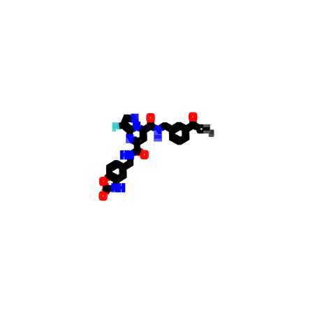 CC(=O)c1cccc(CNC(=O)c2cc(C(=O)NCc3ccc4oc(=O)[nH]c4c3)nc3c(F)cnn23)c1